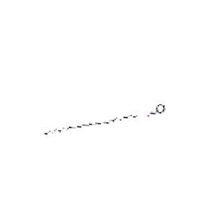 CCCCCCCCCCCCCCCCCCCCCCCCCCCCCCCOC(=O)/C=C/c1ccc(O)cc1